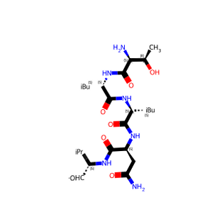 CC[C@H](C)[C@H](NC(=O)[C@@H](N)[C@@H](C)O)C(=O)N[C@H](C(=O)N[C@@H](CC(N)=O)C(=O)N[C@H]([C]=O)C(C)C)[C@@H](C)CC